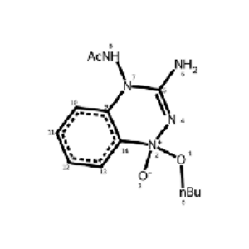 CCCCO[N+]1([O-])N=C(N)N(NC(C)=O)c2ccccc21